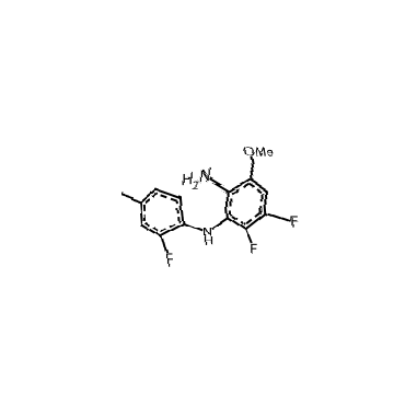 COc1cc(F)c(F)c(Nc2ccc(C)cc2F)c1N